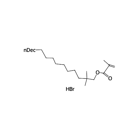 Br.C=C(C)C(=O)OCC(C)(C)CCCCCCCCCCCCCCCCCC